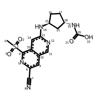 CS(=O)(=O)c1nc(C#N)cc2cnc(N[C@H]3CC[C@H](NC(=O)O)C3)cc12